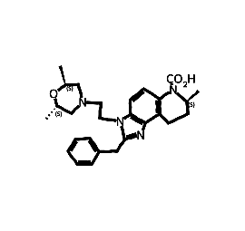 C[C@H]1CN(CCn2c(Cc3ccccc3)nc3c4c(ccc32)N(C(=O)O)[C@@H](C)CC4)C[C@H](C)O1